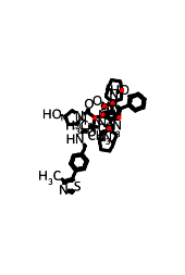 Cc1ncsc1-c1ccc(CNC(=O)[C@@H]2C[C@@H](O)CN2C(=O)C(NC(=O)CN2C3CCC2CC(c2cnc(N4C5CCC4CN(c4cc(-c6ccccc6O)nnc4N)C5)nc2)C3)C(C)(C)C)cc1